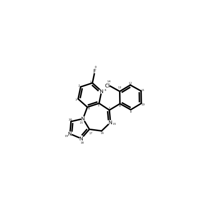 Fc1ccc2c(n1)C(c1ccccc1Cl)=NCc1nncn1-2